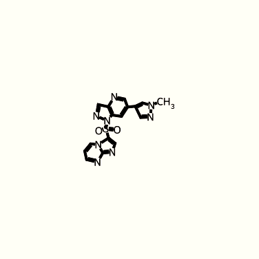 Cn1cc(-c2cnc3cnn(S(=O)(=O)c4cnc5ncccn45)c3c2)cn1